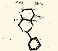 CO[C@H]1O[C@@H]2COC(c3ccccc3)O[C@H]2[C@@H](O)[C@H]1NC(C)=O